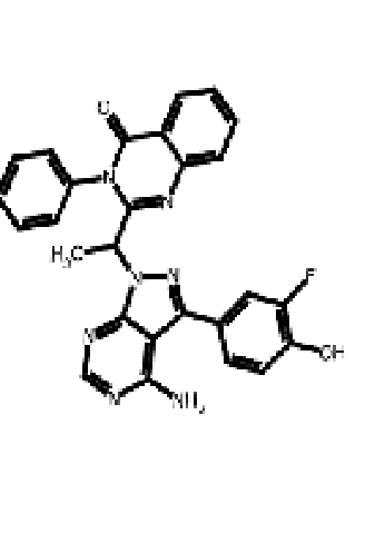 CC(c1nc2ccccc2c(=O)n1-c1ccccc1)n1nc(-c2ccc(O)c(F)c2)c2c(N)ncnc21